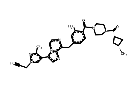 C#CCn1cc(-c2cnc3c(Cc4ccc(C(=O)N5CCN(C(=O)[C@H]6C[C@@H](C)C6)CC5)c(C)c4)nccn23)c(C(F)(F)F)n1